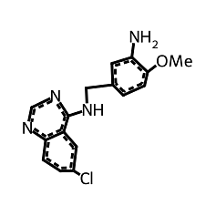 COc1ccc(CNc2ncnc3ccc(Cl)cc23)cc1N